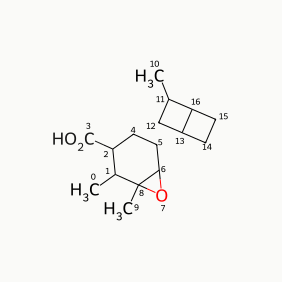 CC1C(C(=O)O)CCC2OC21C.CC1CC2CCC12